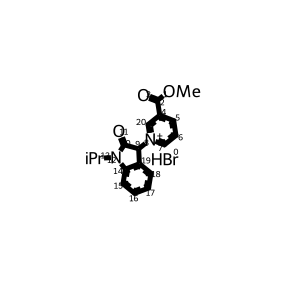 Br.COC(=O)c1ccc[n+](C2C(=O)N(C(C)C)c3ccccc32)c1